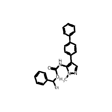 CCC(OC(=O)Nc1c(-c2ccc(-c3c[c]ccc3)cc2)cnn1C)c1ccccc1